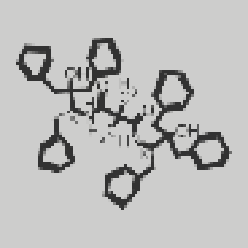 CC(C)(C(=O)N[C@H](Cc1ccccc1)C(O)(Cc1ccccc1)Cc1ccccc1)C(=O)N[C@H](Cc1ccccc1)C(O)(Cc1ccccc1)Cc1ccccc1